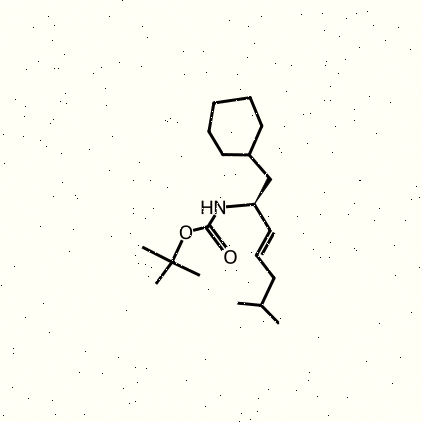 CC(C)CC=C[C@H](CC1CCCCC1)NC(=O)OC(C)(C)C